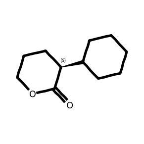 O=C1OCCC[C@H]1C1CCCCC1